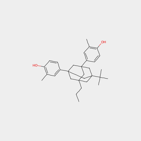 CCCC12CC3(c4ccc(O)c(C)c4)CC(c4ccc(O)c(C)c4)(C1)CC(C(C)(C)C)(C2)C3